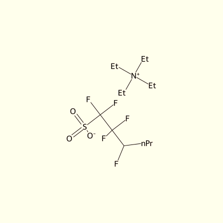 CCCC(F)C(F)(F)C(F)(F)S(=O)(=O)[O-].CC[N+](CC)(CC)CC